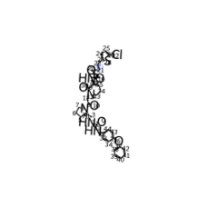 O=C(NC[C@H]1CCCN1C(=O)CN1CCC[C@H](NS(=O)(=O)/C=C/c2ccc(Cl)s2)C1=O)Nc1ccc(Oc2ccccc2)cc1